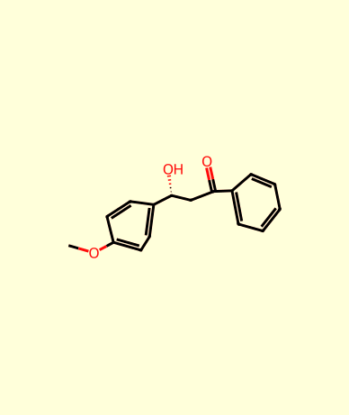 COc1ccc([C@H](O)CC(=O)c2ccccc2)cc1